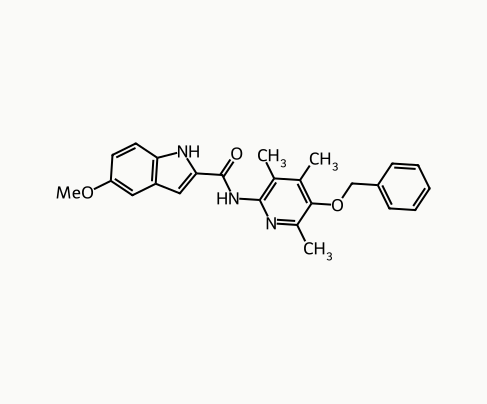 COc1ccc2[nH]c(C(=O)Nc3nc(C)c(OCc4ccccc4)c(C)c3C)cc2c1